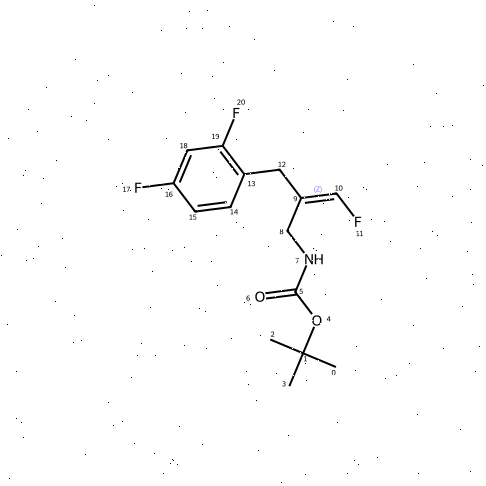 CC(C)(C)OC(=O)NC/C(=C\F)Cc1ccc(F)cc1F